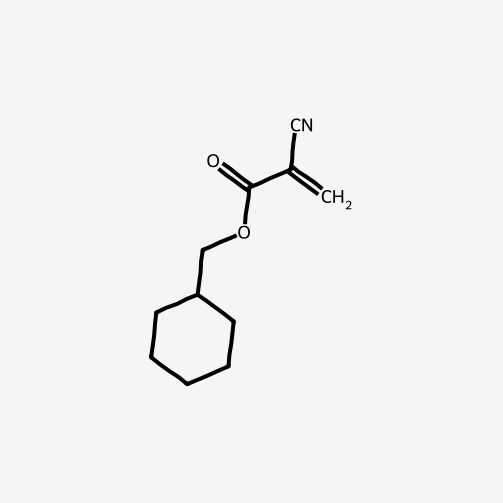 C=C(C#N)C(=O)OCC1CCCCC1